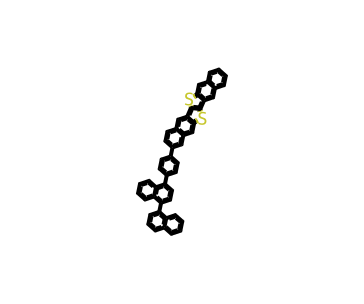 c1ccc2cc3c(cc2c1)sc1c2cc4ccc(-c5ccc(-c6ccc(-c7cccc8ccccc78)c7ccccc67)cc5)cc4cc2sc31